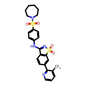 O=S1(=O)N=C(Nc2ccc(S(=O)(=O)N3CCCCCC3)cc2)c2ccc(-c3ncccc3C(F)(F)F)cc21